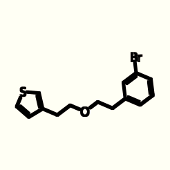 Brc1cccc(CCOCCc2ccsc2)c1